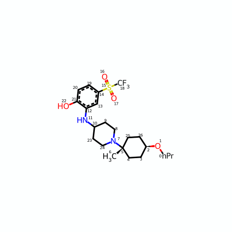 CCCO[C@H]1CC[C@](C)(N2CCC(Nc3cc(S(=O)(=O)C(F)(F)F)ccc3O)CC2)CC1